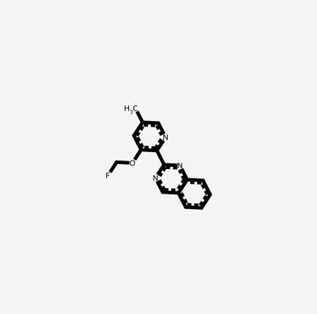 Cc1cnc(-c2ncc3ccccc3n2)c(OCF)c1